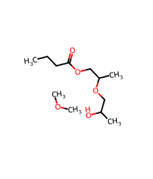 CCCC(=O)OCC(C)OCC(C)O.COC